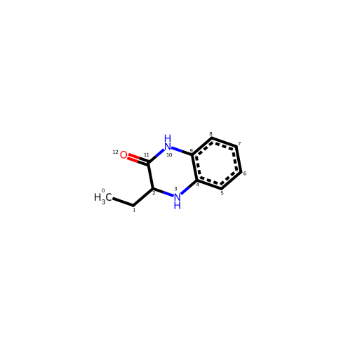 CCC1Nc2ccccc2NC1=O